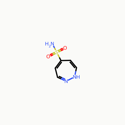 NS(=O)(=O)C1=CC=NNC=C1